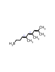 BCC/C=C(C)/C=C(\C)C=C(C)C